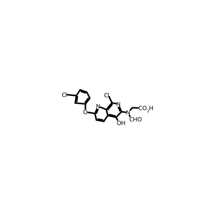 O=CN(CC(=O)O)c1nc(Cl)c2nc(Oc3cccc(Cl)c3)ccc2c1O